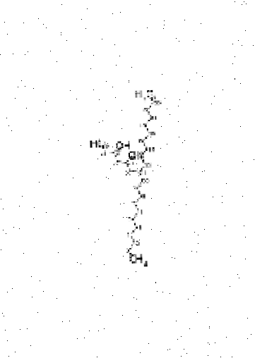 CCCCCCCCCCCC(CCCCCCCCCC)CC(O)CC(O)CO